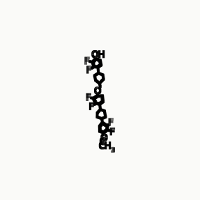 CCOc1ccc(C2CCC(c3ccc(OCC4CCC(c5ccc(O)c(F)c5F)CC4)c(F)c3F)CC2)c(F)c1F